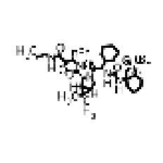 C=CCNC(=O)C(=O)C(CCC)NC(=O)[C@@H]1[C@@H]2[C@H](CN1C(=O)[C@@H](NC(=O)NC1(CS(=O)(=O)C(C)(C)C)CCCCC1)C1CCCCC1)C2(C)C